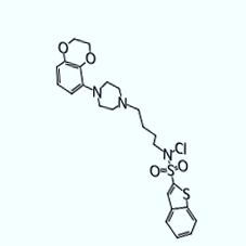 O=S(=O)(c1cc2ccccc2s1)N(Cl)CCCCN1CCN(c2cccc3c2OCCO3)CC1